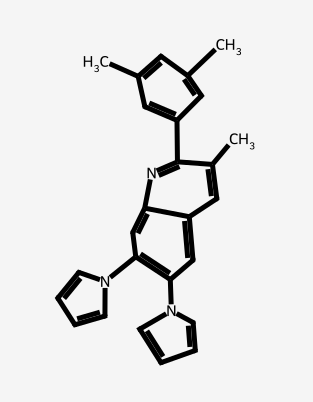 Cc1cc(C)cc(-c2nc3cc(-n4cccc4)c(-n4cccc4)cc3cc2C)c1